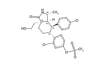 C[C@H]1NC(=O)[C@]2(CCO)CC[C@@H](c3ccc(OS(=O)(=O)C(F)(F)F)cc3Cl)[C@H](c3ccc(Cl)cc3)[C@H]12